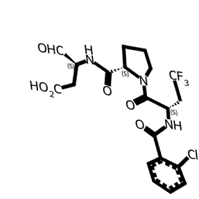 O=C[C@H](CC(=O)O)NC(=O)[C@@H]1CCCN1C(=O)[C@H](CC(F)(F)F)NC(=O)c1ccccc1Cl